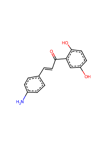 Nc1ccc(/C=C/C(=O)c2cc(O)ccc2O)cc1